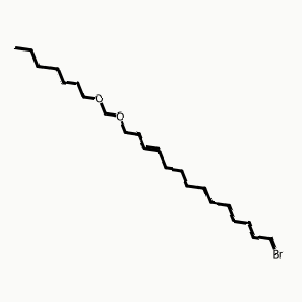 CCCCCCCOCOCCC=CCCCCCCCCCCBr